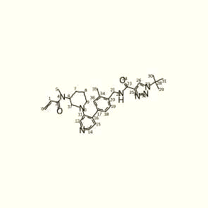 C=CC(=O)N(C)C1CCCN(c2cnccc2-c2ccc(CNC(=O)c3cn(C(C)(C)C)nn3)c(C)c2)C1